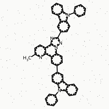 Cc1ccc2c(n1)c1cc(-c3ccc4c(c3)c3ccccc3n4-c3ccccc3)ccc1n1nc(-c3ccc4c(c3)c3ccccc3n4-c3ccccc3)nc21